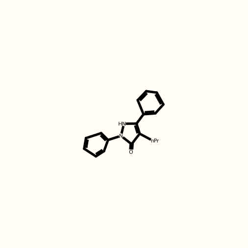 CCCc1c(-c2ccccc2)[nH]n(-c2ccccc2)c1=O